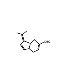 CC(C)=C1C=CC2CC=C(C=O)CC12